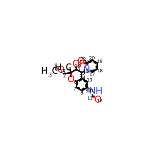 COCC1(C)Oc2ccc(NC=O)cc2C(n2ccccc2=O)C1O